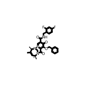 CC1=C[C@H](C)N2CN([C@@H]1C)n1cc(C(=O)NCc3ccc(F)cc3F)c(=O)c(OCc3ccccc3)c1C2=O